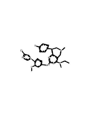 CCN(C)c1nc(Nc2ccc(-n3cnc(Cl)c3)c(OC)c2)nc2c1CN(C)CC2c1ccc(F)cc1